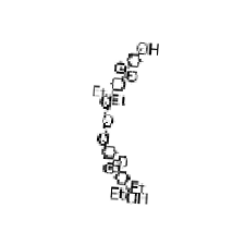 CCC(O)(CC)c1ccc(S(=O)(=O)c2ccc(OCCOCCOC(CC)(CC)c3ccc(S(=O)(=O)c4ccc(O)cc4)cc3)cc2)cc1